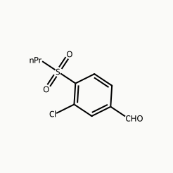 CCCS(=O)(=O)c1ccc(C=O)cc1Cl